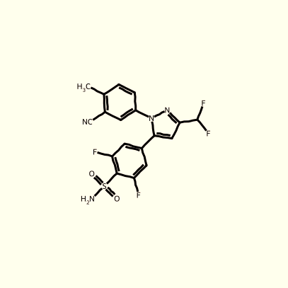 Cc1ccc(-n2nc(C(F)F)cc2-c2cc(F)c(S(N)(=O)=O)c(F)c2)cc1C#N